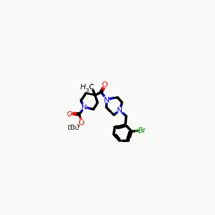 CC(C)(C)OC(=O)N1CCC(C)(C(=O)N2CCN(Cc3ccccc3Br)CC2)CC1